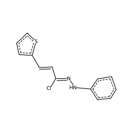 ClC(C=Cc1cccs1)=NNc1ccccc1